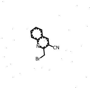 N#Cc1cc2ccccc2nc1CBr